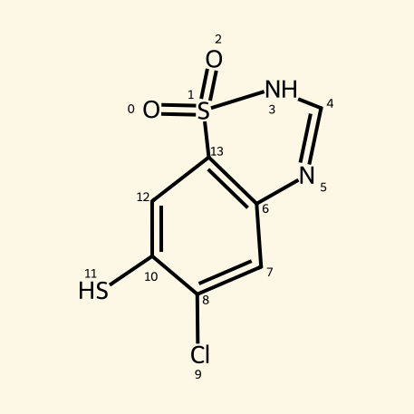 O=S1(=O)NC=Nc2cc(Cl)c(S)cc21